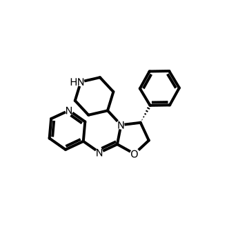 c1ccc([C@@H]2CO/C(=N/c3cccnc3)N2C2CCNCC2)cc1